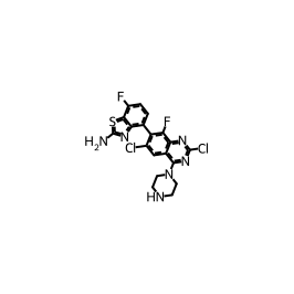 Nc1nc2c(-c3c(Cl)cc4c(N5CCNCC5)nc(Cl)nc4c3F)ccc(F)c2s1